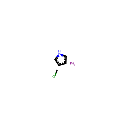 CCl.P.c1cc[nH]c1